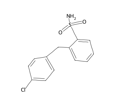 NS(=O)(=O)c1ccccc1Cc1ccc(Cl)cc1